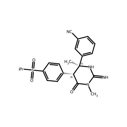 CC(C)S(=O)(=O)c1ccc([C@H]2C(=O)N(C)C(=N)N[C@]2(C)c2cccc(C#N)c2)cc1